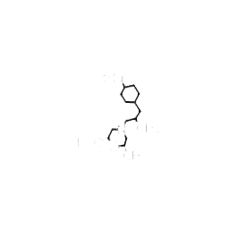 CC(CC1CCC(C(C)(C)C)CC1)CN1C[C@@H](C)O[C@H](C)C1